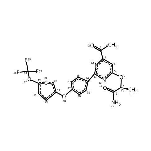 CC(=O)c1cc(O[C@@H](C)C(N)=O)nc(-c2ccc(Oc3ccc(OC(F)(F)F)cc3)cc2)n1